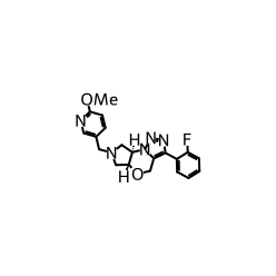 COc1ccc(CN2C[C@@H]3[C@@H](C2)OCc2c(-c4ccccc4F)nnn23)cn1